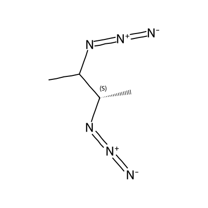 CC(N=[N+]=[N-])[C@H](C)N=[N+]=[N-]